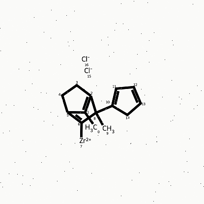 CC1=C2CCC1=[C]([Zr+2])C2(C)C1=CC=CC1.[Cl-].[Cl-]